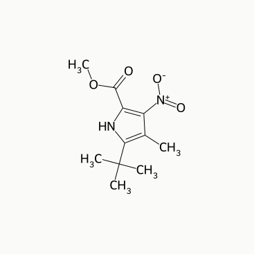 COC(=O)c1[nH]c(C(C)(C)C)c(C)c1[N+](=O)[O-]